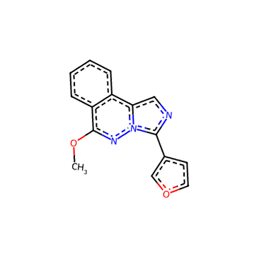 COc1nn2c(-c3ccoc3)ncc2c2ccccc12